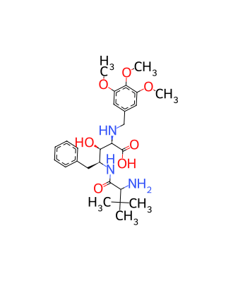 COc1cc(CN[C@@H](C(=O)O)[C@H](O)[C@H](Cc2ccccc2)NC(=O)C(N)C(C)(C)C)cc(OC)c1OC